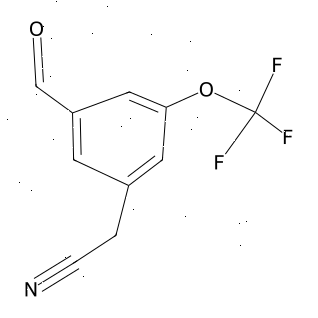 N#CCc1cc(C=O)cc(OC(F)(F)F)c1